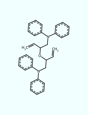 C=CC(CN(c1ccccc1)c1ccccc1)OC(C=C)CN(c1ccccc1)c1ccccc1